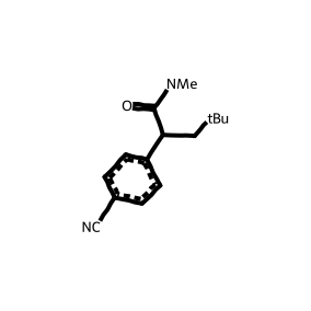 CNC(=O)C(CC(C)(C)C)c1ccc(C#N)cc1